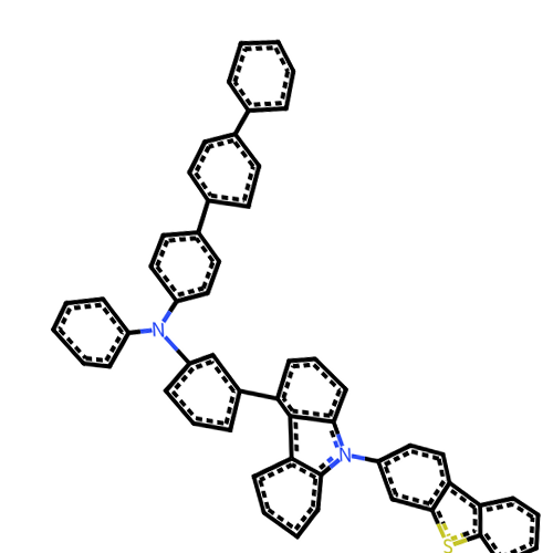 c1ccc(-c2ccc(-c3ccc(N(c4ccccc4)c4cccc(-c5cccc6c5c5ccccc5n6-c5ccc6c(c5)sc5ccccc56)c4)cc3)cc2)cc1